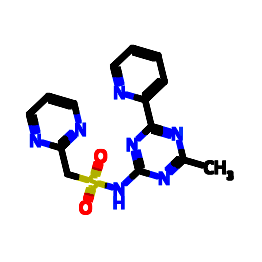 Cc1nc(NS(=O)(=O)Cc2ncccn2)nc(-c2ccccn2)n1